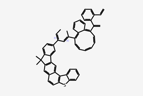 C=Cc1ccccc1C(=C)c1ccccccc(/C(C)=C/C(=C\C)c2ccc3c(c2)-c2cc4c(ccc5sc6ccccc6c54)cc2C3(C)C)c2ccccc12